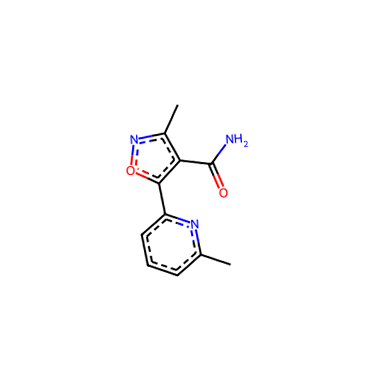 Cc1cccc(-c2onc(C)c2C(N)=O)n1